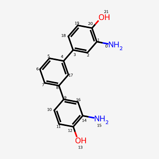 Nc1cc(-c2cccc(-c3ccc(O)c(N)c3)c2)ccc1O